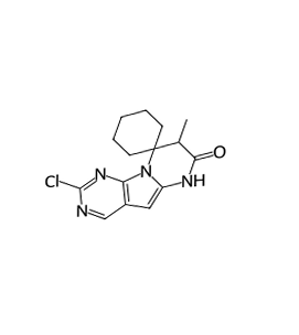 CC1C(=O)Nc2cc3cnc(Cl)nc3n2C12CCCCC2